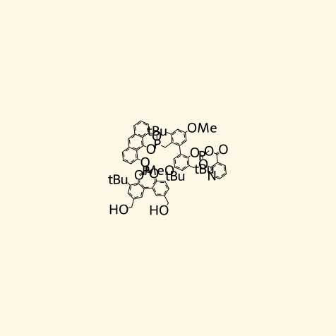 COc1cc(-c2cc(OC)cc(C(C)(C)C)c2OP2OC(=O)c3cccnc3O2)c(CP2Oc3cccc4cc5cccc(Op6oc7c(C(C)(C)C)cc(CO)cc7c7cc(CO)cc(C(C)(C)C)c7o6)c5c(c34)O2)c(C(C)(C)C)c1